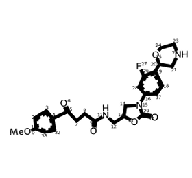 COc1ccc(C(=O)CCC(=O)NCC2CN(c3ccc(C4CNCCO4)c(F)c3)C(=O)O2)cc1